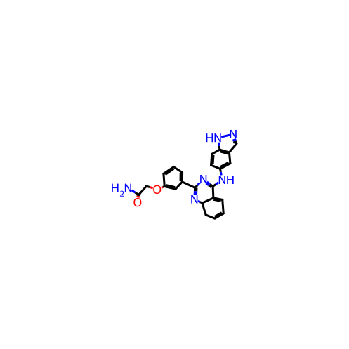 NC(=O)COc1cccc(C2=NC3CC=CC=C3C(Nc3ccc4[nH]ncc4c3)=N2)c1